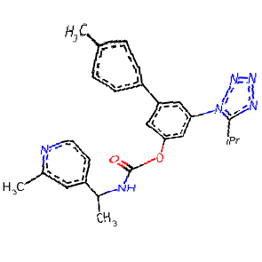 Cc1ccc(-c2cc(OC(=O)NC(C)c3ccnc(C)c3)cc(-n3nnnc3C(C)C)c2)cc1